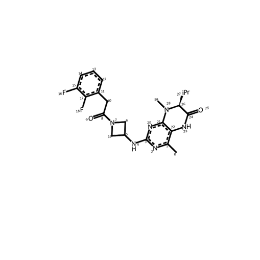 Cc1nc(NC2CN(C(=O)Cc3cccc(F)c3F)C2)nc2c1NC(=O)[C@H](C(C)C)N2C